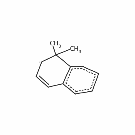 CC1(C)[C]C=Cc2ccccc21